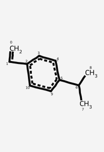 C=Cc1c[c]c(C(C)C)cc1